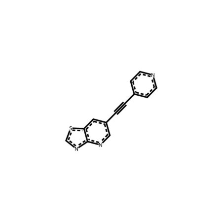 C(#Cc1cnc2ncsc2c1)c1ccncc1